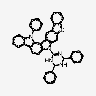 c1ccc(C2N=C(n3c4cc5oc6ccccc6c5cc4c4c3ccc3c5ccccc5n(-c5ccccc5)c34)NC(c3ccccc3)N2)cc1